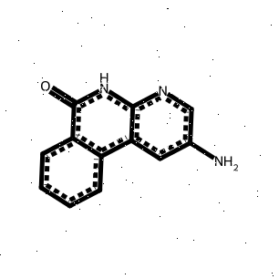 Nc1cnc2[nH]c(=O)c3ccccc3c2c1